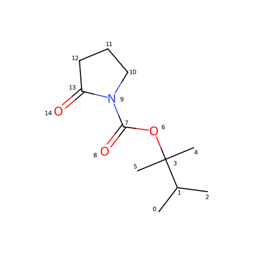 CC(C)C(C)(C)OC(=O)N1CCCC1=O